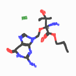 CCCOC(=O)[C@](N)(OCn1cnc2c(=O)[nH]c(N)nc21)C(C)(C)O.Cl